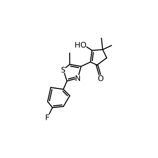 Cc1sc(-c2ccc(F)cc2)nc1C1=C(O)C(C)(C)CC1=O